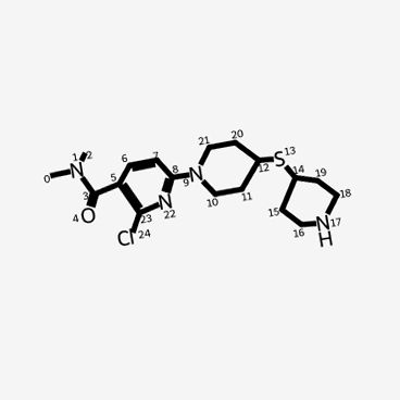 CN(C)C(=O)c1ccc(N2CCC(SC3CCNCC3)CC2)nc1Cl